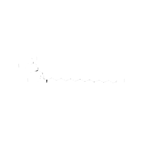 CCCCCCCCCCCCCCCC(=O)N(C)CC(=O)OC(C)C